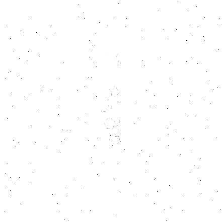 CC(C)(C)OC(=O)N1CC(CCn2ccc(SNC(=O)c3ccc(-n4ccc(OCCCC5(C(F)(F)F)CC5)n4)nc3Cl)n2)CC1(C)C